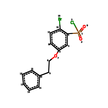 O=S(=O)(Cl)c1cc(OCCc2ccccc2)ccc1Br